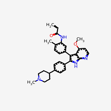 C=CC(=O)Nc1cc(-c2c(-c3ccc(C4CCN(C)CC4)cc3)[nH]c3nccc(OC)c23)ccc1C